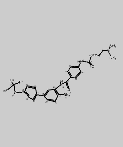 CN(C)CCOC(=O)Nc1ccc(C(=O)Nc2cc(-c3ccc(OC(F)(F)F)cc3)ccc2N)cc1